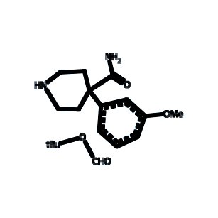 CC(C)(C)OC=O.COc1cccc(C2(C(N)=O)CCNCC2)c1